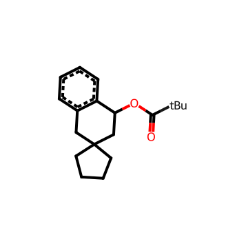 CC(C)(C)C(=O)OC1CC2(CCCC2)Cc2ccccc21